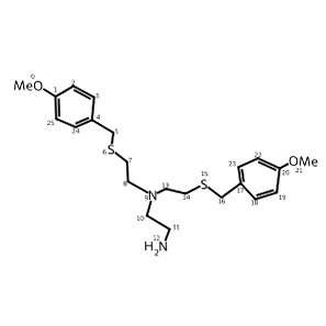 COc1ccc(CSCCN(CCN)CCSCc2ccc(OC)cc2)cc1